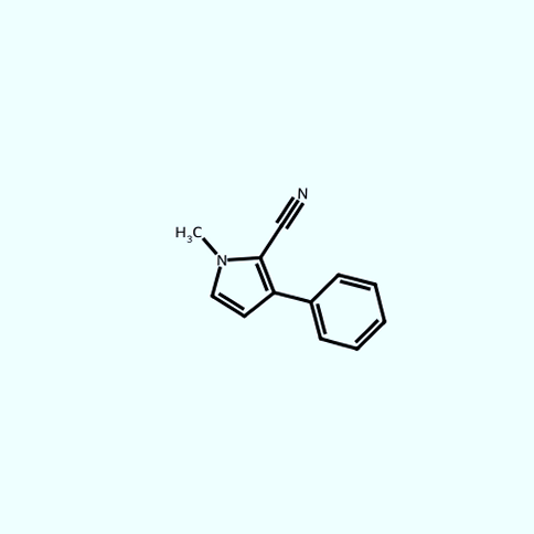 Cn1ccc(-c2ccccc2)c1C#N